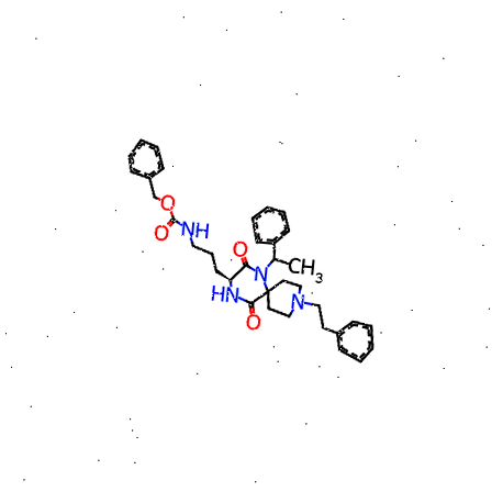 CC(c1ccccc1)N1C(=O)[C@H](CCCNC(=O)OCc2ccccc2)NC(=O)C12CCN(CCc1ccccc1)CC2